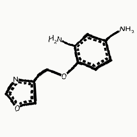 Nc1ccc(OCc2cocn2)c(N)c1